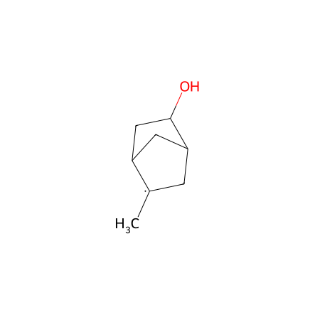 C[C]1CC2CC1CC2O